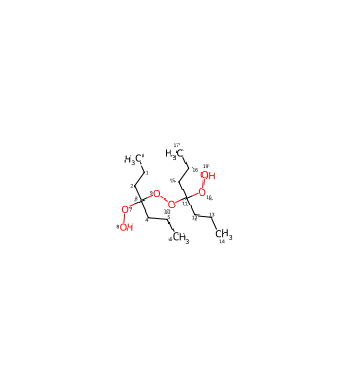 CCCC(CCC)(OO)OOC(CCC)(CCC)OO